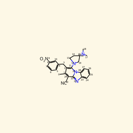 Cc1c(Cc2cccc([N+](=O)[O-])c2)c(N2CC[C@H](N(C)C)C2)n2c(nc3ccccc32)c1C#N